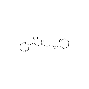 O[C@@H](CNCCOC1CCCCO1)c1ccccc1